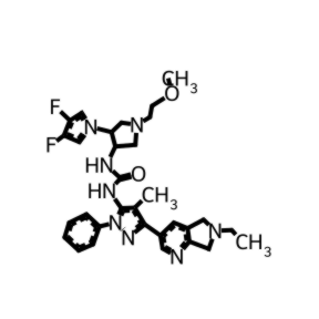 CCN1Cc2cc(-c3nn(-c4ccccc4)c(NC(=O)NC4CN(CCOC)CC4n4cc(F)c(F)c4)c3C)cnc2C1